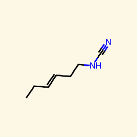 CCC=CCCNC#N